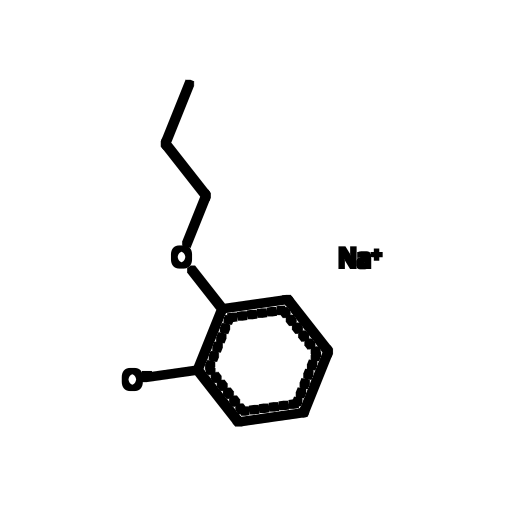 CCCOc1ccccc1[O-].[Na+]